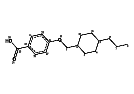 CCCC1CCC(COc2ccc(C(=O)O)cc2)CC1